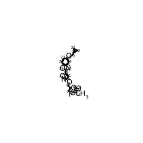 CS(=O)(=O)OC(CF)COc1cc(-c2nc3cc(OCC4CC4)ccc3o2)on1